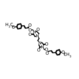 COc1ccc(/C=C/C(=O)OCN2C(=O)CN(CCN3CC(=O)N(COC(=O)/C=C/c4ccc(OC)cc4)C(=O)C3)CC2=O)cc1